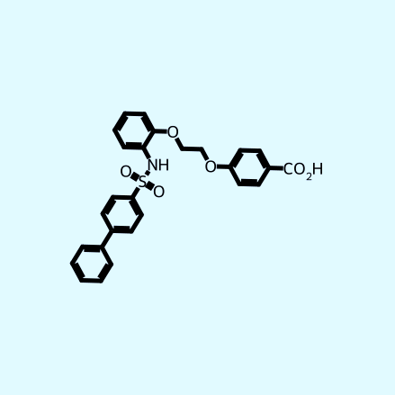 O=C(O)c1ccc(OCCOc2ccccc2NS(=O)(=O)c2ccc(-c3ccccc3)cc2)cc1